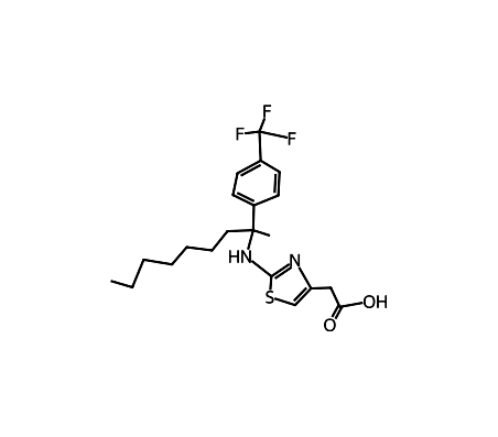 CCCCCCCC(C)(Nc1nc(CC(=O)O)cs1)c1ccc(C(F)(F)F)cc1